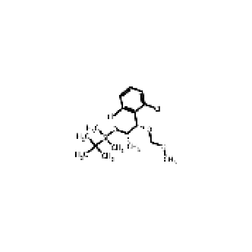 COCO[C@@H](c1c(Cl)cccc1Cl)[C@H](C)O[Si](C)(C)C(C)(C)C